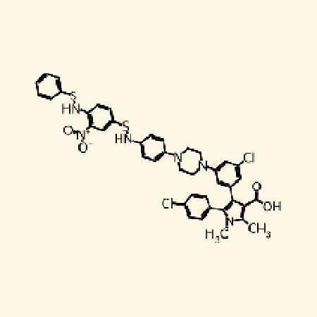 Cc1c(C(=O)O)c(-c2cc(Cl)cc(N3CCN(c4ccc(NSc5ccc(NSc6ccccc6)c([N+](=O)[O-])c5)cc4)CC3)c2)c(-c2ccc(Cl)cc2)n1C